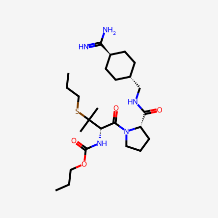 CCCOC(=O)N[C@@H](C(=O)N1CCC[C@H]1C(=O)NC[C@H]1CC[C@H](C(=N)N)CC1)C(C)(C)SCCC